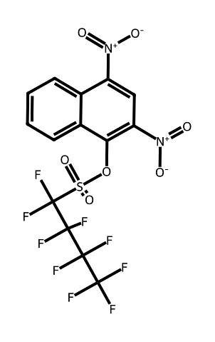 O=[N+]([O-])c1cc([N+](=O)[O-])c2ccccc2c1OS(=O)(=O)C(F)(F)C(F)(F)C(F)(F)C(F)(F)F